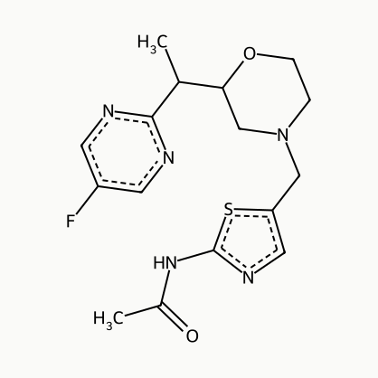 CC(=O)Nc1ncc(CN2CCOC(C(C)c3ncc(F)cn3)C2)s1